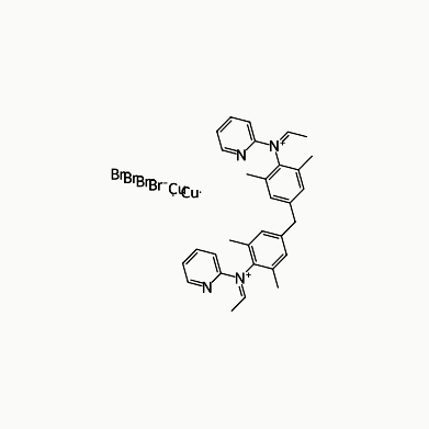 CC=[N+](c1ccccn1)c1c(C)cc(Cc2cc(C)c([N+](=CC)c3ccccn3)c(C)c2)cc1C.[Br-].[Br-].[Br-].[Br-].[Cu].[Cu]